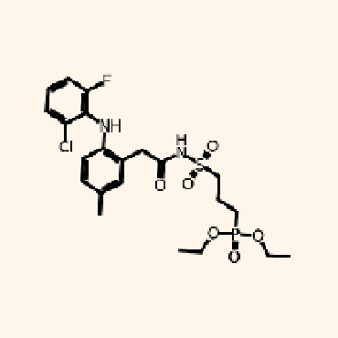 CCOP(=O)(CCCS(=O)(=O)NC(=O)Cc1cc(C)ccc1Nc1c(F)cccc1Cl)OCC